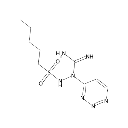 CCCCCS(=O)(=O)NN(C(=N)N)c1ccnnn1